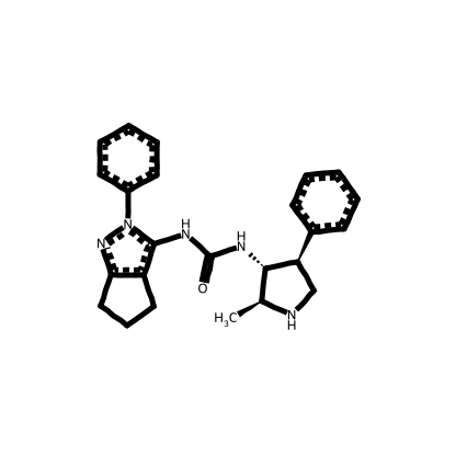 C[C@@H]1NC[C@H](c2ccccc2)[C@H]1NC(=O)Nc1c2c(nn1-c1ccccc1)CCC2